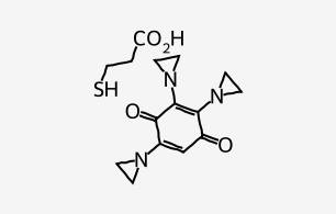 O=C(O)CCS.O=C1C=C(N2CC2)C(=O)C(N2CC2)=C1N1CC1